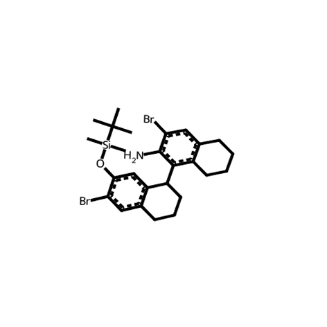 CC(C)(C)[Si](C)(C)Oc1cc2c(cc1Br)CCCC2c1c(N)c(Br)cc2c1CCCC2